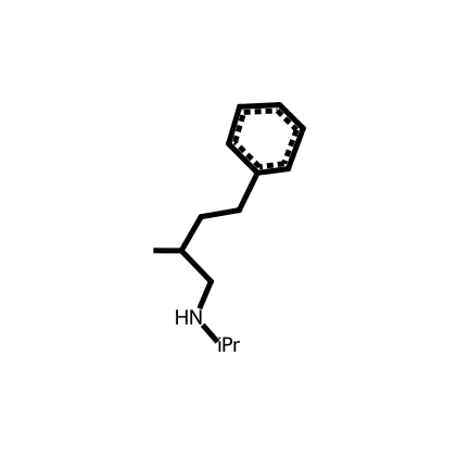 CC(CCc1ccccc1)CNC(C)C